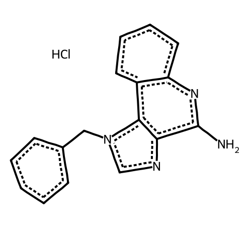 Cl.Nc1nc2ccccc2c2c1ncn2Cc1ccccc1